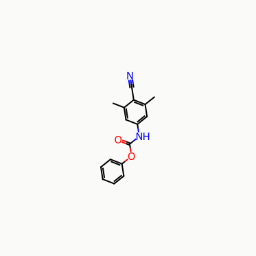 Cc1cc(NC(=O)Oc2ccccc2)cc(C)c1C#N